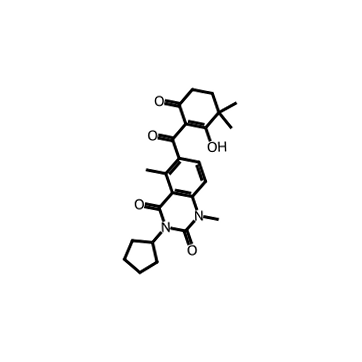 Cc1c(C(=O)C2=C(O)C(C)(C)CCC2=O)ccc2c1c(=O)n(C1CCCC1)c(=O)n2C